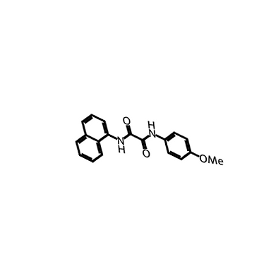 COc1ccc(NC(=O)C(=O)Nc2cccc3ccccc23)cc1